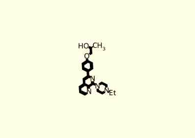 CCN1CCN(c2nc(-c3ccc(OC[C@H](C)O)cc3)cc3cccnc23)CC1